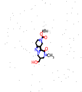 CN1CC(CO)Cn2nc3c(c2C1=O)CN(C(=O)OC(C)(C)C)CC3